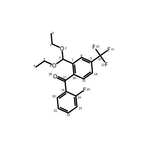 CCOC(OCC)c1cc(C(F)(F)F)ccc1C(=O)c1ccccc1F